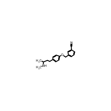 CNC(C)CCc1ccc(OCc2cccc(C#N)c2)cc1